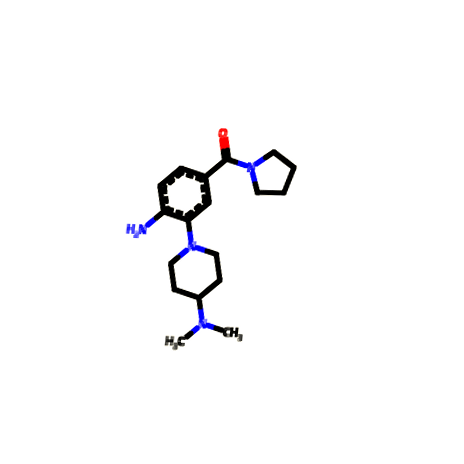 CN(C)C1CCN(c2cc(C(=O)N3CCCC3)ccc2N)CC1